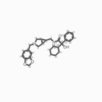 O=C(NCC1C2CN(Cc3ccc4c(c3)OCO4)CC12)C(O)(c1ccccc1)C1CCCCC1